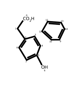 O=C(O)Cc1ccc(O)cc1.c1ccccc1